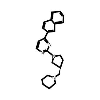 c1ccc2cc(-c3ccnc(N4CC[C@@H](CN5CCCCC5)C4)n3)ccc2c1